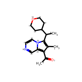 CC(=O)c1c(C)c(C(C)C2CCOCC2)n2ccncc12